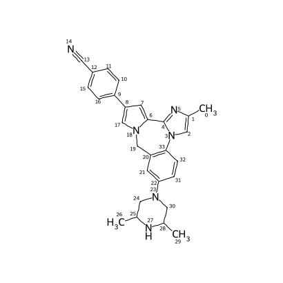 Cc1cn2c(n1)-c1cc(-c3ccc(C#N)cc3)cn1Cc1cc(N3CC(C)NC(C)C3)ccc1-2